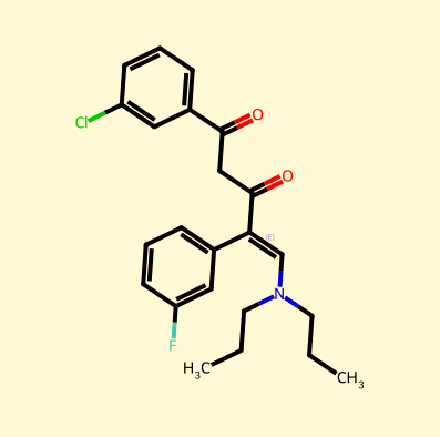 CCCN(/C=C(/C(=O)CC(=O)c1cccc(Cl)c1)c1cccc(F)c1)CCC